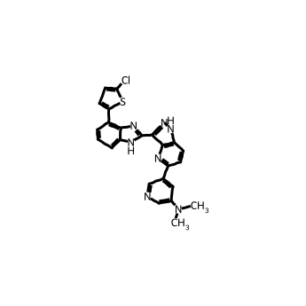 CN(C)c1cncc(-c2ccc3[nH]nc(-c4nc5c(-c6ccc(Cl)s6)cccc5[nH]4)c3n2)c1